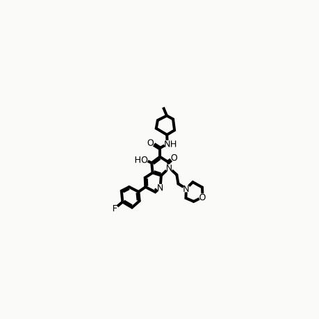 CC1CCC(NC(=O)c2c(O)c3cc(-c4ccc(F)cc4)cnc3n(CCN3CCOCC3)c2=O)CC1